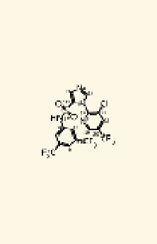 O=S(=O)(Nc1cc(C(F)(F)F)cc(C(F)(F)F)c1)c1cncn1-c1ncc(C(F)(F)F)cc1Cl